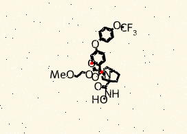 COCCOC(=O)N1CC2CCC(C(=O)NO)(C1)N2C(=O)c1ccc(Oc2ccc(OC(F)(F)F)cc2)cc1